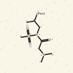 CCCCCC(C)CN(C(=O)CN(C)C)S(C)(=O)=O